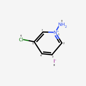 N[n+]1cccc(Cl)c1.[I-]